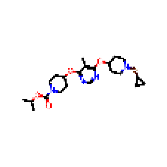 Cc1c(OC2CCN(SC3CC3)CC2)ncnc1OC1CCN(C(=O)OC(C)C)CC1